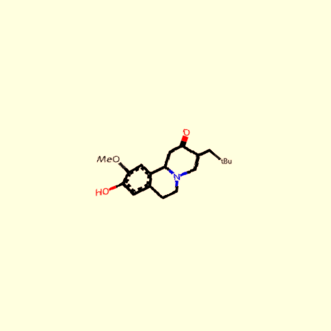 COc1cc2c(cc1O)CCN1CC(CC(C)(C)C)C(=O)CC21